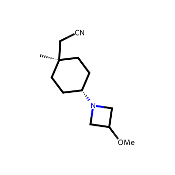 COC1CN([C@H]2CC[C@](C)(CC#N)CC2)C1